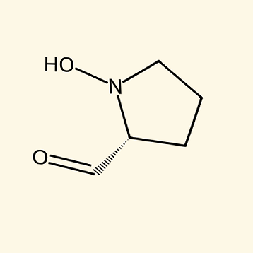 O=C[C@H]1CCCN1O